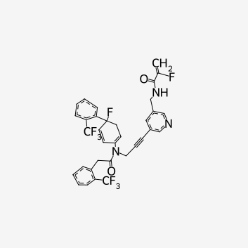 C=C(F)C(=O)NCc1cncc(C#CCN(C(=O)Cc2ccccc2C(F)(F)F)C2=CCC(F)(c3ccccc3C(F)(F)F)C=C2)c1